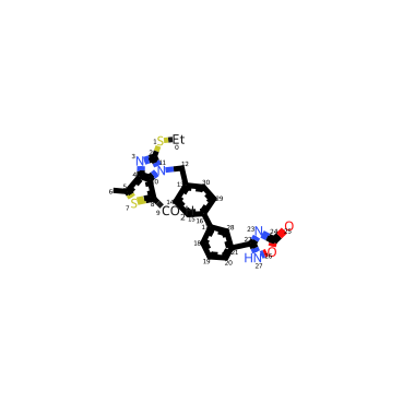 CCSc1nc2c(C)sc(C(=O)O)c2n1Cc1ccc(-c2cccc(-c3nc(=O)o[nH]3)c2)cc1